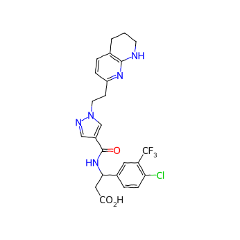 O=C(O)CC(NC(=O)c1cnn(CCc2ccc3c(n2)NCCC3)c1)c1ccc(Cl)c(C(F)(F)F)c1